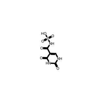 O=C(NS(=O)(=O)O)c1c[nH]c(=O)[nH]c1=O